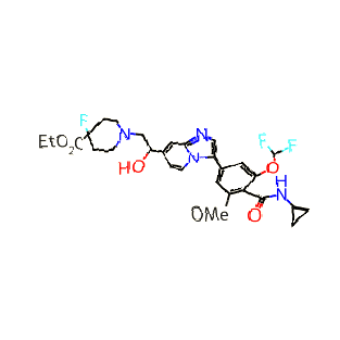 CCOC(=O)C1(F)CCN(CC(O)c2ccn3c(-c4cc(OC)c(C(=O)NC5CC5)c(OC(F)F)c4)cnc3c2)CC1